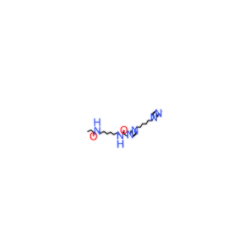 CCC(=O)NCCCCCCNC(=O)C[n+]1ccn(CCCCCC[n+]2ccn(C)c2)c1